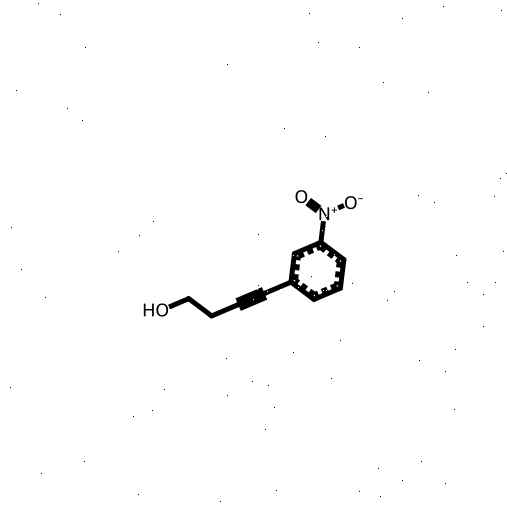 O=[N+]([O-])c1cccc(C#CCCO)c1